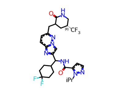 CC(C)n1nccc1C(=O)NC(c1cn2nc(CC3C[C@@H](C(F)(F)F)CNC3=O)ccc2n1)C1CCC(F)(F)CC1